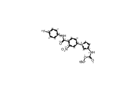 CC(C)(C)OC(=O)Nc1ccn(-c2ccc(C(=O)Nc3ccc(F)cc3)c([N+](=O)[O-])c2)c1